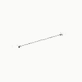 NC(=O)CCCCCCCCC=CCCCCCCCCCCCCCCCCCCCC=CCCCCCCCCC(N)=O